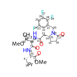 COC(=O)[C@H](CC(C)C)NC(=O)[C@@H](NC(=O)C[C@@H]1CCC(=O)N1Cc1cc(F)cc(F)c1F)[C@@H](C)OC